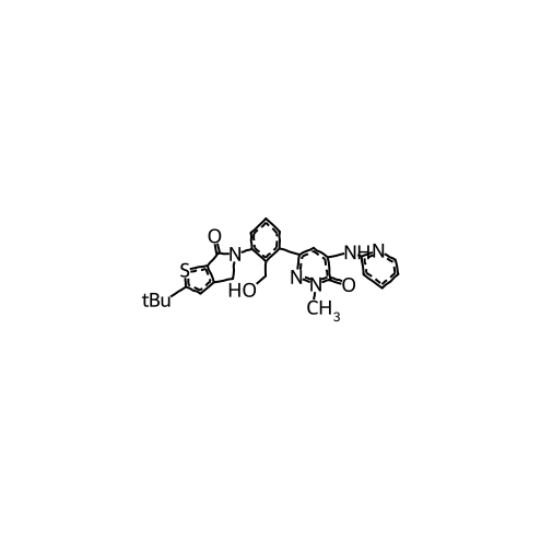 Cn1nc(-c2cccc(N3Cc4cc(C(C)(C)C)sc4C3=O)c2CO)cc(Nc2ccccn2)c1=O